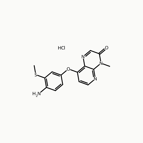 CSc1cc(Oc2ccnc3c2ncc(=O)n3C)ccc1N.Cl